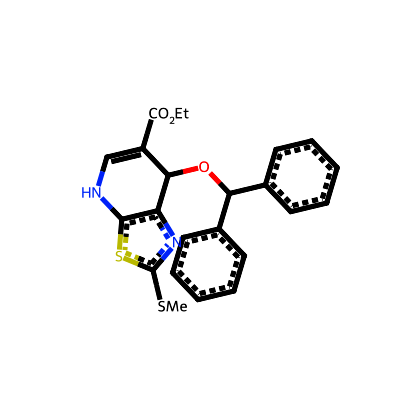 CCOC(=O)C1=CNc2sc(SC)nc2C1OC(c1ccccc1)c1ccccc1